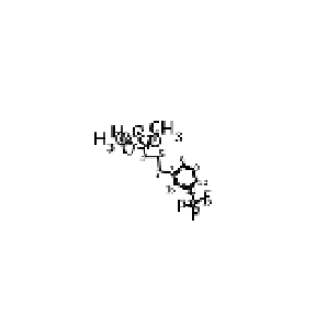 CO[Si](C)(CCCc1cccc(C(F)(F)F)c1)OC